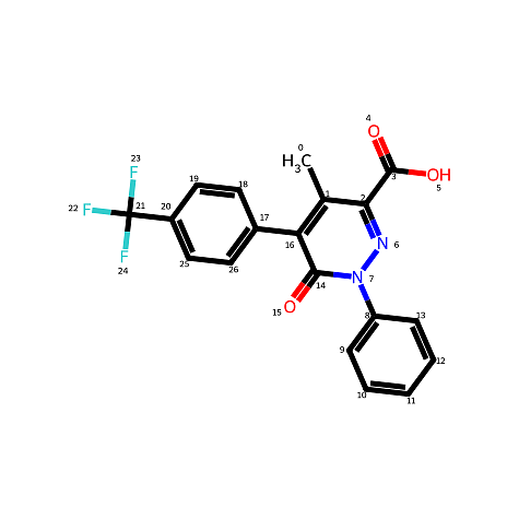 Cc1c(C(=O)O)nn(-c2ccccc2)c(=O)c1-c1ccc(C(F)(F)F)cc1